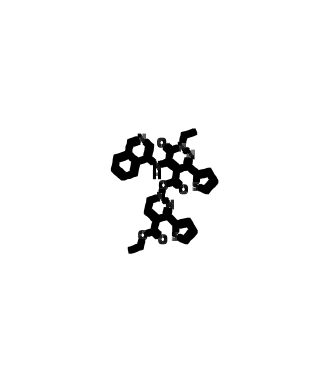 CCOC(=O)C1=CCN(OC(=O)c2c(-c3cccs3)nn(CC)c(=O)c2Nc2cncc3ccccc23)N=C1c1cccs1